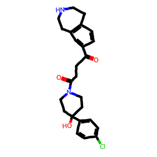 O=C(CCC(=O)N1CCC(O)(c2ccc(Cl)cc2)CC1)c1ccc2c(c1)CCNCC2